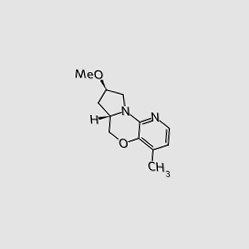 CO[C@@H]1C[C@H]2COc3c(C)ccnc3N2C1